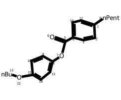 CCCCCc1ccc(C(=O)Oc2ccc(OCCCC)cc2)cc1